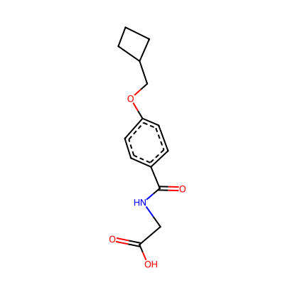 O=C(O)CNC(=O)c1ccc(OCC2CCC2)cc1